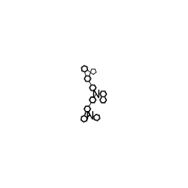 c1ccc(-n2c3ccccc3c3ccc(-c4ccc(N(c5ccc(-c6ccc7c(c6)C6(CCCC6)c6ccccc6-7)cc5)c5cccc6ccccc56)cc4)cc32)cc1